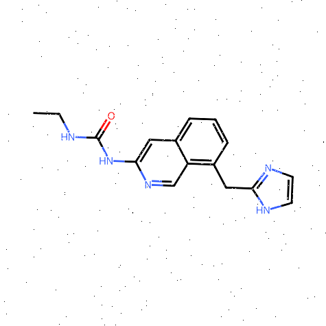 CCNC(=O)Nc1cc2cccc(Cc3ncc[nH]3)c2cn1